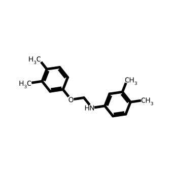 Cc1ccc(NCOc2ccc(C)c(C)c2)cc1C